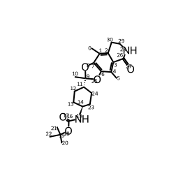 Cc1c2c(c(C)c3c1OC(C)([C@H]1CC[C@H](NC(=O)OC(C)(C)C)CC1)O3)C(=O)NCC2